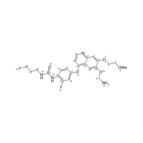 COCCOc1cc2nccc(Oc3ccc(NC(=O)NCCCF)c(F)c3)c2cc1OCN